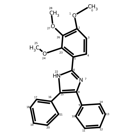 COc1ccc(-c2nc(-c3ccccc3)c(-c3ccccc3)[nH]2)c(OC)c1OC